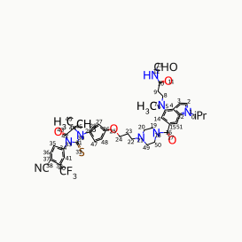 CC(C)n1ccc2c(N(C)CCC(=O)NC=O)cc(C(=O)N3CCN(CCCOc4ccc(N5C(=S)N(c6ccc(C#N)c(C(F)(F)F)c6)C(=O)C5(C)C)cc4)CC3)cc21